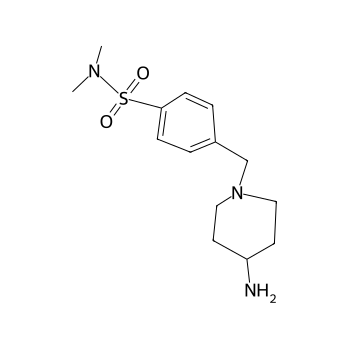 CN(C)S(=O)(=O)c1ccc(CN2CCC(N)CC2)cc1